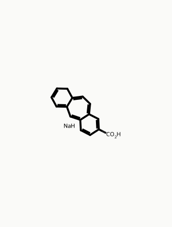 O=C(O)c1ccc2c(c1)=CC=C1CC=CC=C1C=2.[NaH]